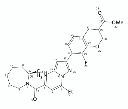 CCc1cc(C(=O)N2CCCCC[C@H]2C)nc2cc(-c3ccc4c(c3F)OCC(C(=O)OC)C4)nn12